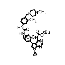 CN1CCN(Cc2ccc(NC(=O)Nc3ccc(-c4cn(C5CC5)c5ncnc(N(C(=O)O)C(=O)OC(C)(C)C)c45)cn3)cc2C(F)(F)F)CC1